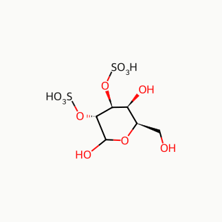 O=S(=O)(O)O[C@H]1[C@@H](O)[C@@H](CO)OC(O)[C@@H]1OS(=O)(=O)O